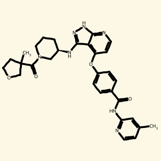 Cc1ccnc(NC(=O)c2ccc(Oc3ccnc4[nH]nc(N[C@@H]5CCCN(C(=O)C6(C)CCOC6)C5)c34)cc2)c1